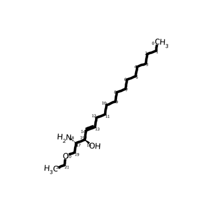 CCCCCCCCCCCCC/C=C/[C@@H](O)[C@@H](N)COCC